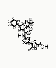 Cc1nc(CO)sc1-c1csc(NC(=O)[C@@H]2C[C@@H](c3ccccc3)CN2C(=O)C(F)(F)F)n1